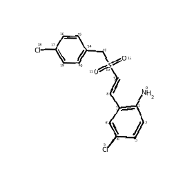 Nc1ccc(Cl)cc1C=CS(=O)(=O)Cc1ccc(Cl)cc1